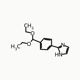 CCOC(OCC)c1ccc(-c2ncc[nH]2)cc1